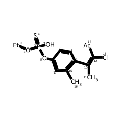 CCOP(O)(=S)Oc1ccc(/C(C)=C(/Cl)C(C)=O)c(C)c1